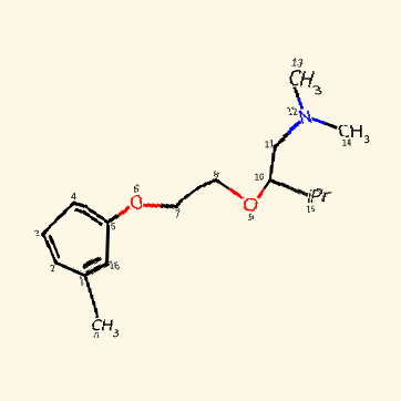 Cc1cccc(OCCOC(CN(C)C)C(C)C)c1